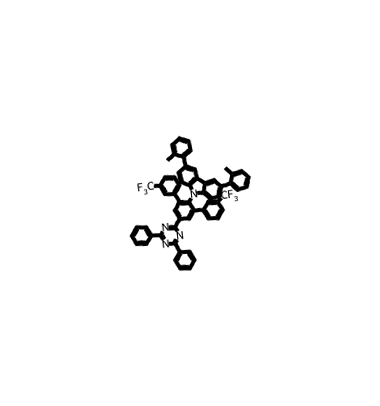 Cc1ccccc1-c1ccc2c(c1)c1cc(-c3ccccc3C)ccc1n2-c1c(-c2cccc(C(F)(F)F)c2)cc(-c2nc(-c3ccccc3)nc(-c3ccccc3)n2)cc1-c1cccc(C(F)(F)F)c1